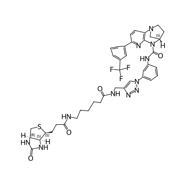 O=C(CC[C@@H]1SC[C@@H]2NC(=O)N[C@@H]21)NCCCCCC(=O)NCc1cn(-c2cccc(NC(=O)N3c4nc(-c5cccc(C(F)(F)F)c5)ccc4N4CC[C@H]3C4)c2)nn1